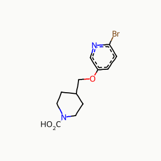 O=C(O)N1CCC(COc2ccc(Br)nc2)CC1